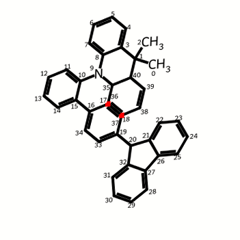 CC1(C)c2ccccc2N(c2ccccc2-c2ccc(C3c4ccccc4-c4ccccc43)cc2)C2C=CC=CC21